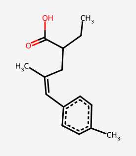 CCC(CC(C)=Cc1ccc(C)cc1)C(=O)O